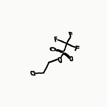 O=S(=O)(OCCCl)C(F)(F)F